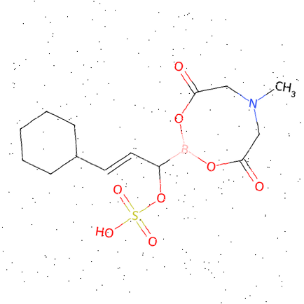 CN1CC(=O)OB(C(C=CC2CCCCC2)OS(=O)(=O)O)OC(=O)C1